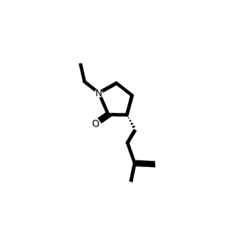 C=C(C)CC[C@H]1CCN(CC)C1=O